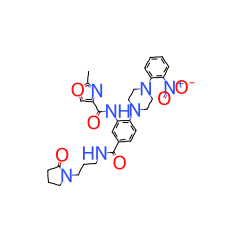 Cc1nc(C(=O)Nc2cc(C(=O)NCCCN3CCCC3=O)ccc2N2CCN(c3ccccc3[N+](=O)[O-])CC2)co1